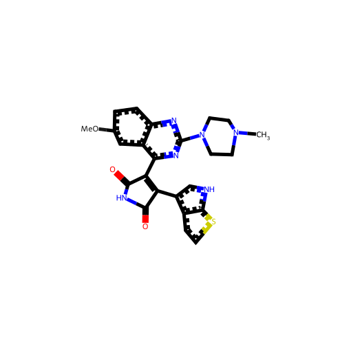 COc1ccc2nc(N3CCN(C)CC3)nc(C3=C(c4c[nH]c5sccc45)C(=O)NC3=O)c2c1